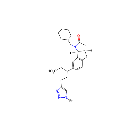 CCn1cc(CCC(CC(=O)O)c2ccc3c(c2)[C@@H]2[C@@H](CC(=O)N2CC2CCCCC2)C3)nn1